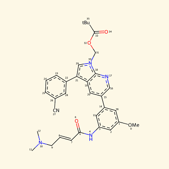 COc1cc(NC(=O)C=CCN(C)C)cc(-c2cnc3c(c2)c(-c2cccc(C#N)c2)cn3COC(=O)C(C)(C)C)c1